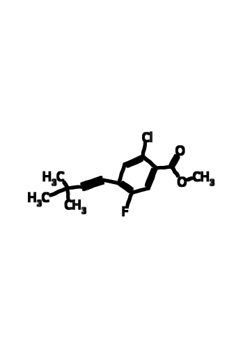 COC(=O)c1cc(F)c(C#CC(C)(C)C)cc1Cl